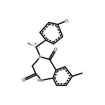 C[C@H](c1ccc(Cl)cc1)N1CC(=O)Nc2ccc(I)cc2C1=O